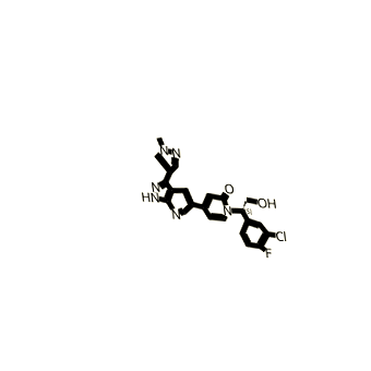 Cn1cc(-c2n[nH]c3ncc(-c4ccn([C@H](CO)c5ccc(F)c(Cl)c5)c(=O)c4)cc23)cn1